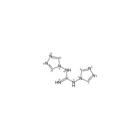 N=C(Nn1cnnc1)Nn1cnnc1